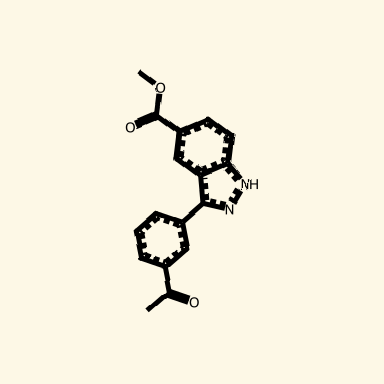 COC(=O)c1ccc2[nH]nc(-c3cccc(C(C)=O)c3)c2c1